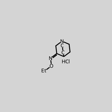 CCON=C1CN2CCC1CC2.Cl